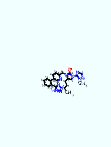 CCCCc1cn(-c2ncnn2C)c(=O)n1Cc1ccc(-c2ccccc2-c2nnn[nH]2)cn1